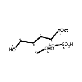 CC=O.CCCCCCCCCCCCO.O=S(=O)(O)O